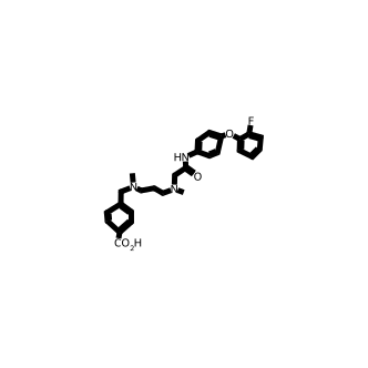 CN(CCCN(C)Cc1ccc(C(=O)O)cc1)CC(=O)Nc1ccc(Oc2ccccc2F)cc1